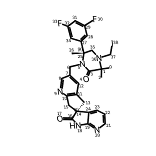 CC1(C)C(=O)N(Cc2cnc3c(c2)C[C@@]2(C3)C(=O)Nc3ncccc32)[C@](C)(c2cc(F)cc(F)c2)CN1CI